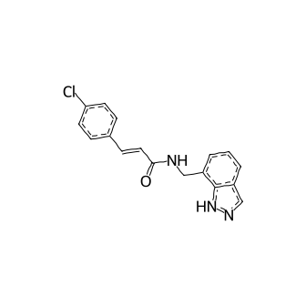 O=C(/C=C/c1ccc(Cl)cc1)NCc1cccc2cn[nH]c12